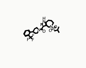 CC(C)CS(=O)(=O)N1CCCc2[nH]nc(C(=O)N3CCC(c4ccccc4C(F)(F)F)CC3)c2C1